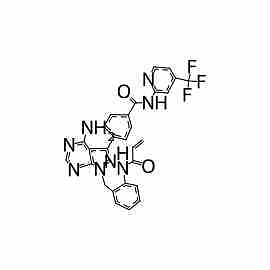 C=CC(=O)Nc1ccccc1Cn1nc(-c2ccc(C(=O)Nc3cc(C(F)(F)F)ccn3)cc2)c2c(N)ncnc21